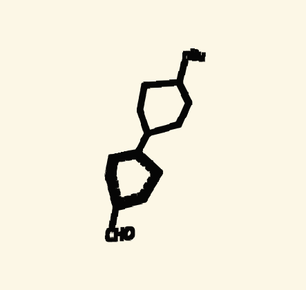 CCCCC1CCC(c2ccc(C=O)cc2)CC1